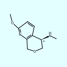 CN[C@H]1COCc2nc(OC)ccc21